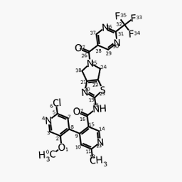 COc1cnc(Cl)cc1-c1cc(C)ncc1C(=O)Nc1nc2c(s1)CN(C(=O)c1cnc(C(F)(F)F)nc1)C2